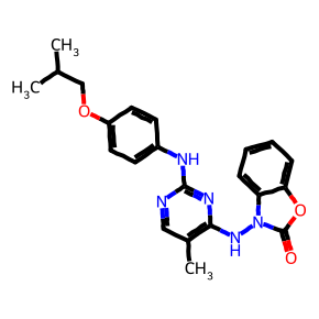 Cc1cnc(Nc2ccc(OCC(C)C)cc2)nc1Nn1c(=O)oc2ccccc21